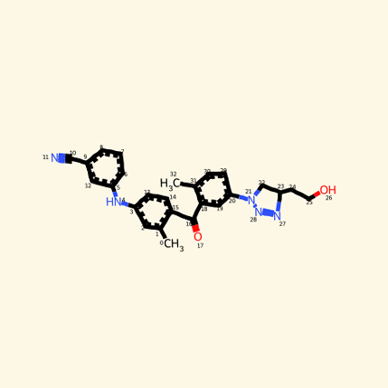 Cc1cc(Nc2cccc(C#N)c2)ccc1C(=O)c1cc(N2CC(CCO)N=N2)ccc1C